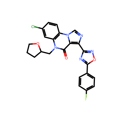 O=c1c2c(-c3noc(-c4ccc(F)cc4)n3)ncn2c2ccc(Cl)cc2n1CC1CCCO1